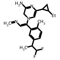 C=N/C=C(/c1cc(C(C)C(F)F)ccc1C)N1C=C(C2CC2CC)N=C(N)C1